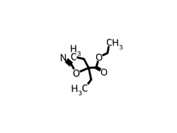 CCOC(=O)C(CC)(CC)OC#N